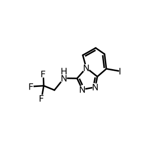 FC(F)(F)CNc1nnc2c(I)cccn12